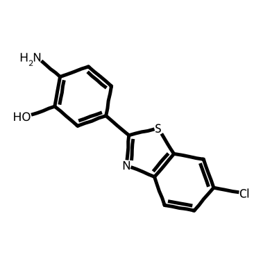 Nc1ccc(-c2nc3ccc(Cl)cc3s2)cc1O